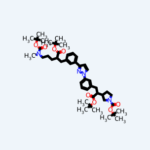 CN(CCCC(Cc1cccc(-c2ccn(-c3cccc(CC(C(=O)OC(C)(C)C)C4CCN(C(=O)OC(C)(C)C)C4)c3)n2)c1)C(=O)OC(C)(C)C)C(=O)OC(C)(C)C